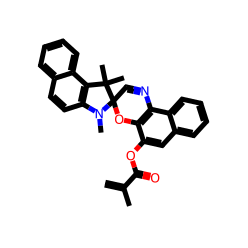 C=C(C)C(=O)Oc1cc2ccccc2c2c1OC1(C=N2)N(C)c2ccc3ccccc3c2C1(C)C